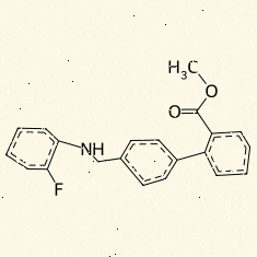 COC(=O)c1ccccc1-c1ccc(CNc2ccccc2F)cc1